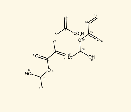 C=C(C)C(=O)O.C=C(C)C(=O)OC(C)O.C=CC(=O)OC(O)CC